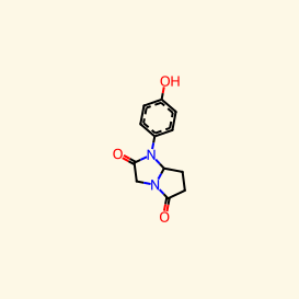 O=C1CCC2N1CC(=O)N2c1ccc(O)cc1